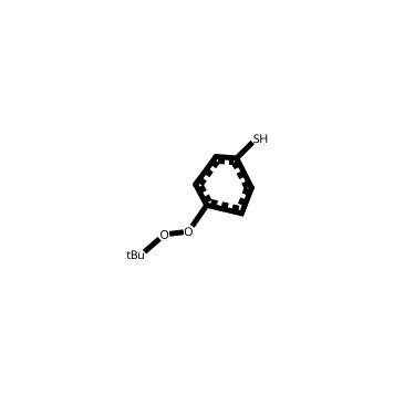 CC(C)(C)OOc1ccc(S)cc1